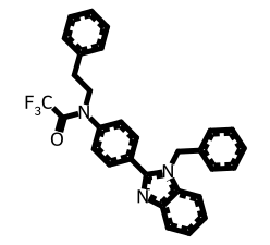 O=C(N(CCc1ccccc1)c1ccc(-c2nc3ccccc3n2Cc2ccccc2)cc1)C(F)(F)F